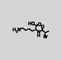 CC(Br)C(=O)N[C@@H](CCCCN)C(=O)O